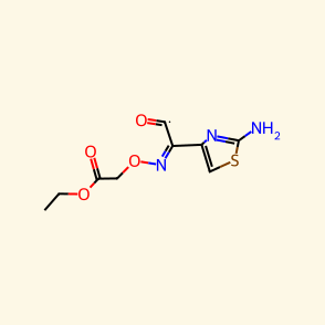 CCOC(=O)CON=C([C]=O)c1csc(N)n1